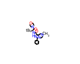 CN1CCn2c(-c3ccccc3)nc(C(=O)N[C@H](C(=O)N3CCOCC3)C(C)(C)C)c2C1